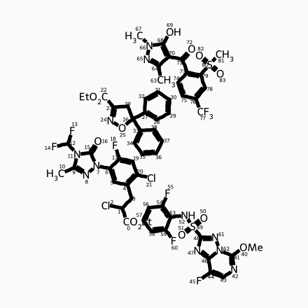 CCOC(=O)C(Cl)Cc1cc(-n2nc(C)n(C(F)F)c2=O)c(F)cc1Cl.CCOC(=O)C1=NOC(c2ccccc2)(c2ccccc2)C1.COc1ncc(F)c2nc(S(=O)(=O)Nc3c(F)cccc3F)nn12.Cc1nn(C)c(O)c1C(=O)c1ccc(C(F)(F)F)cc1S(C)(=O)=O